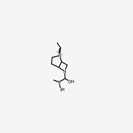 C/C=[N+]1\CCC2C1CN2C(O)N(C)C(C)C